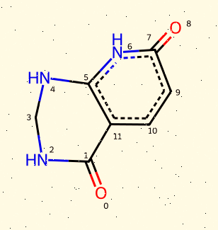 O=C1NCNc2[nH]c(=O)ccc21